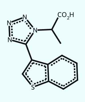 CC(C(=O)O)n1nnnc1-c1csc2ccccc12